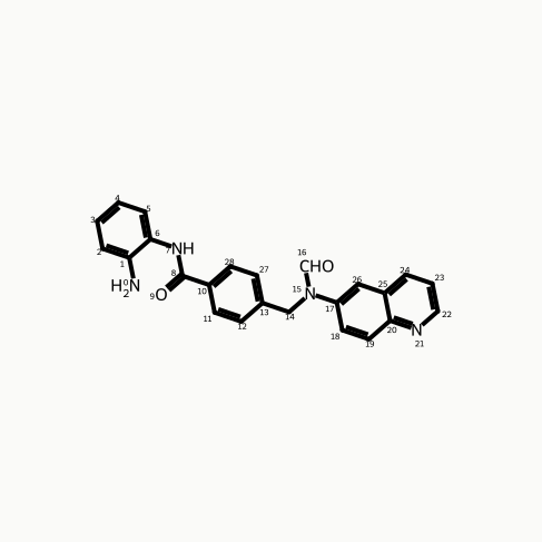 Nc1ccccc1NC(=O)c1ccc(CN(C=O)c2ccc3ncccc3c2)cc1